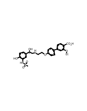 CCOc1cc(-c2ccc(OCCNC[C@H](O)c3ccc(O)c(NS(C)(=O)=O)c3)cc2)ccc1C(=O)O